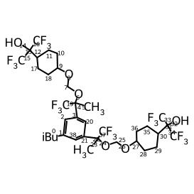 CCC(C)c1cc(C(C)(OCOC2CCC(C(O)(C(F)(F)F)C(F)(F)F)CC2)C(F)(F)F)cc(C(C)(OCOC2CCC(C(O)(C(F)(F)F)C(F)(F)F)CC2)C(F)(F)F)c1